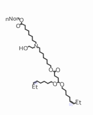 CC/C=C\CCCCOC(CCC(=O)OCCCCCCCN(CCO)CCCCCCCC(=O)OCCCCCCCCC)OCCCC/C=C\CC